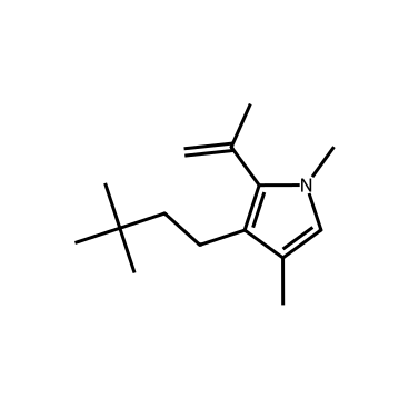 C=C(C)c1c(CCC(C)(C)C)c(C)cn1C